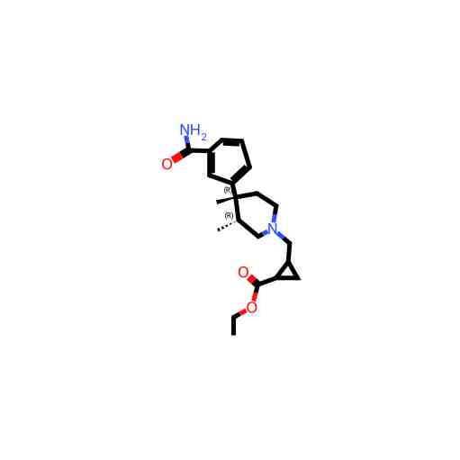 CCOC(=O)C1CC1CN1CC[C@@](C)(c2cccc(C(N)=O)c2)[C@@H](C)C1